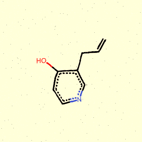 C=CCc1[c]nccc1O